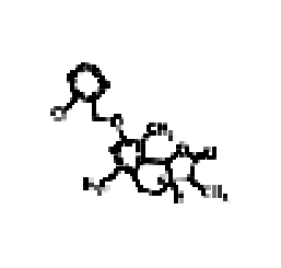 Cc1cc(OCc2ccccc2Cl)c(C)c2c1CC[C@H]1C(C)C(=O)OC21